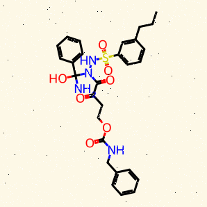 CCCc1cccc(S(=O)(=O)NN(C(=O)C(=O)CCOC(=O)NCc2ccccc2)C(N)(O)c2ccccc2)c1